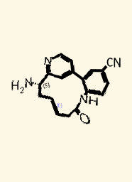 N#Cc1ccc2c(c1)-c1ccnc(c1)[C@@H](N)C/C=C/CC(=O)N2